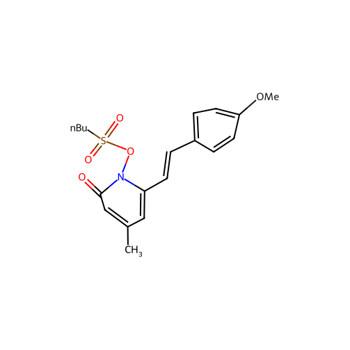 CCCCS(=O)(=O)On1c(/C=C/c2ccc(OC)cc2)cc(C)cc1=O